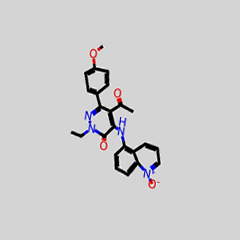 CCn1nc(-c2ccc(OC)cc2)c(C(C)=O)c(Nc2cccc3c2ccc[n+]3[O-])c1=O